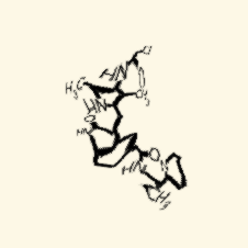 Cc1[nH]c(/C=C2\C(=O)Nc3ccc(C(=O)N[C@H](C)c4ccccn4)cc32)c(C)c1NC(=O)CCl